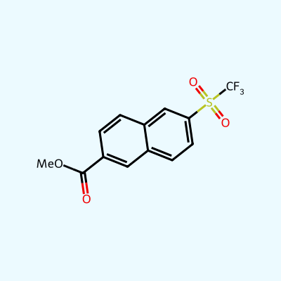 COC(=O)c1ccc2cc(S(=O)(=O)C(F)(F)F)ccc2c1